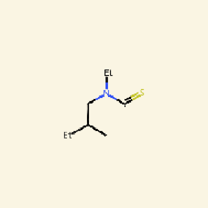 CCC(C)CN([C]=S)CC